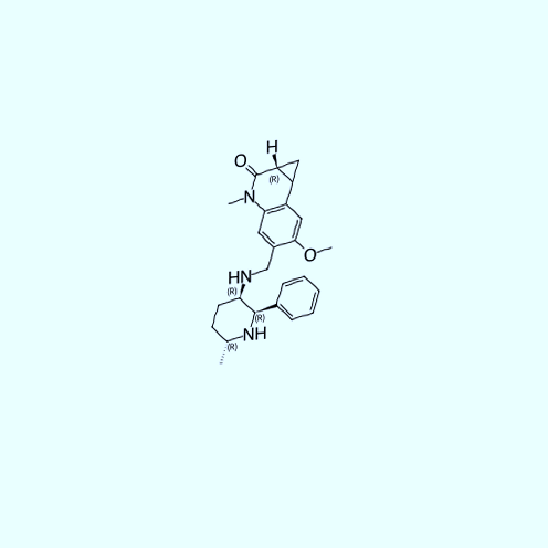 COc1cc2c(cc1CN[C@@H]1CC[C@@H](C)N[C@@H]1c1ccccc1)N(C)C(=O)[C@@H]1CC21